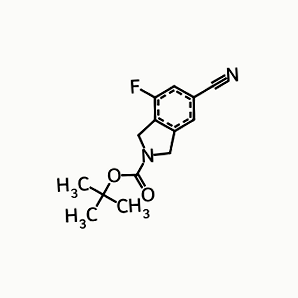 CC(C)(C)OC(=O)N1Cc2cc(C#N)cc(F)c2C1